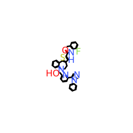 Cc1cccc(F)c1NC(=O)c1cc2c(s1)-c1ccccc1N(C(O)c1cccc(-c3cncn3-c3ccccc3)n1)CC2